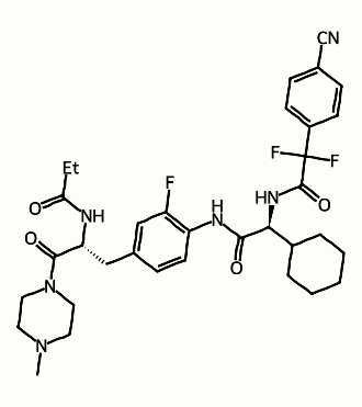 CCC(=O)N[C@H](Cc1ccc(NC(=O)[C@@H](NC(=O)C(F)(F)c2ccc(C#N)cc2)C2CCCCC2)c(F)c1)C(=O)N1CCN(C)CC1